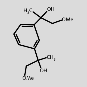 COCC(C)(O)c1cccc(C(C)(O)COC)c1